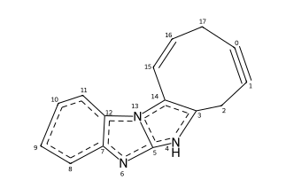 C1#CCc2[nH]c3nc4ccccc4n3c2/C=C\C1